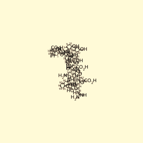 CC(C)C[C@H](NC(=O)[C@H](Cc1ccc(O)cc1)NC(=O)[C@H](Cc1c[nH]cn1)NC(=O)[C@H](Cc1ccc(O)cc1)NC(=O)[C@@H](NC(=O)[C@H](CC(=O)O)NC(=O)[C@H](CCC(N)=O)NC(=O)[C@@H]1CCCN1C(=O)[C@H](CCC(=O)O)NC(=O)[C@H](CCCNC(=N)N)NC(=O)[C@@H](NC(=O)[C@@H](N)Cc1ccccc1)[C@@H](C)O)[C@@H](C)O)C(=O)N1CCC[C@H]1C(=O)O